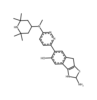 CN(c1ccc(-c2cc3c(cc2O)C2=C(C3)SC(N)N2)nn1)C1CC(C)(C)NC(C)(C)C1